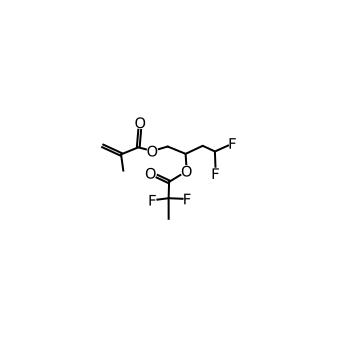 C=C(C)C(=O)OCC(CC(F)F)OC(=O)C(C)(F)F